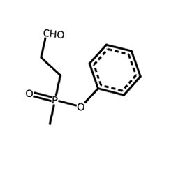 CP(=O)(CCC=O)Oc1ccccc1